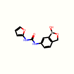 O=C(Nc1ccc2c(c1)B(O)OC2)Nc1ccco1